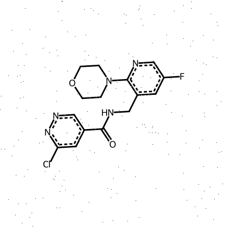 O=C(NCc1cc(F)cnc1N1CCOCC1)c1cnnc(Cl)c1